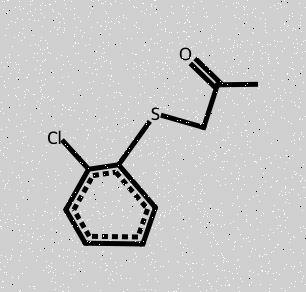 CC(=O)CSc1ccccc1Cl